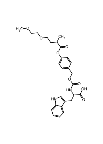 COCCOCCC(C)C(=O)Oc1ccc(COC(=O)NC(Cc2c[nH]c3ccccc23)C(=O)O)cc1